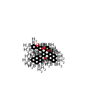 Bc1c(B)c(B)c(-c2c(-c3c(B)c(B)c4oc5c(B)c(B)c(B)c(B)c5c4c3B)c(B)c(-c3c(B)c(B)c4c(B)c(B)c5c(B)c(B)c(B)c6c(B)c(B)c3c4c56)c(B)c2-c2c(B)c(B)c3c(B)c(B)c4c(B)c(B)c(B)c5c(B)c(B)c2c3c45)c(B)c1B